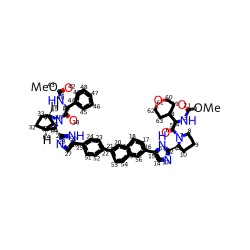 COC(=O)NC(C(=O)N1CCC[C@H]1c1ncc(-c2ccc3cc(-c4ccc(-c5cnc([C@@H]6[C@H]7CC[C@H](C7)N6C(=O)[C@H](NC(=O)OC)c6ccccc6)[nH]5)cc4)ccc3c2)[nH]1)C1CCOCC1